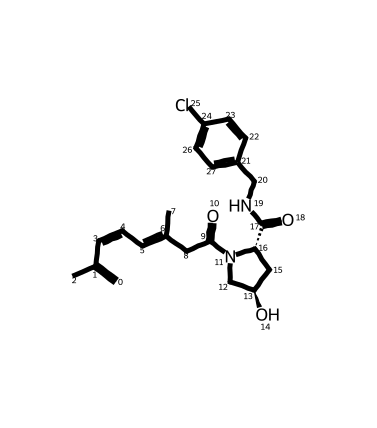 C=C(C)/C=C\C=C(/C)CC(=O)N1C[C@H](O)C[C@H]1C(=O)NCc1ccc(Cl)cc1